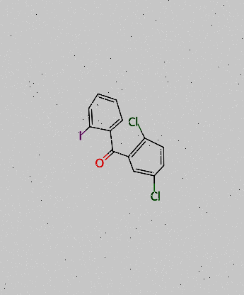 O=C(c1cc(Cl)ccc1Cl)c1ccccc1I